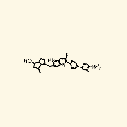 Cc1cc(-c2ccc(-c3nc4cc(CC5CCC6C(O)CC(C)C56)[nH]c4cc3F)cc2)ccc1N